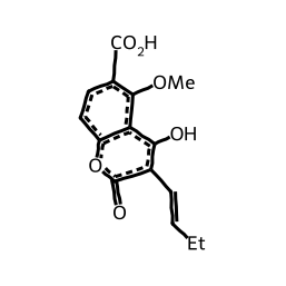 CCC=Cc1c(O)c2c(OC)c(C(=O)O)ccc2oc1=O